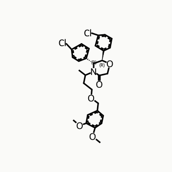 COc1ccc(COCCC(C)N2C(=O)CO[C@H](c3cccc(Cl)c3)[C@H]2c2ccc(Cl)cc2)cc1OC